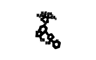 CC1(C)OB(c2cc(N3CCC(O)(c4ccccn4)C3)c3c(C#N)cnn3c2)OC1(C)C